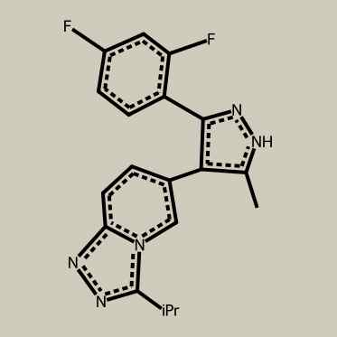 Cc1[nH]nc(-c2ccc(F)cc2F)c1-c1ccc2nnc(C(C)C)n2c1